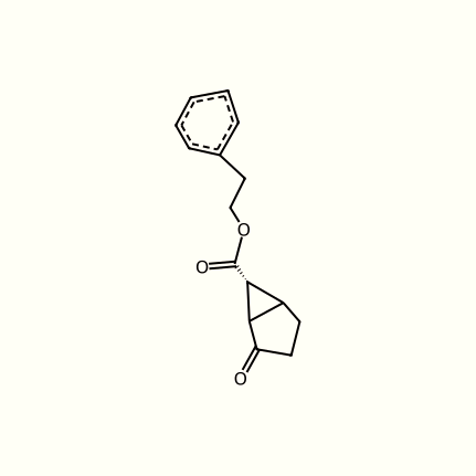 O=C1CCC2C1[C@@H]2C(=O)OCCc1ccccc1